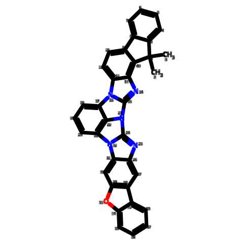 CC1(C)c2ccccc2-c2ccc3c(nc4n3c3cccc5c3n4c3nc4cc6c(cc4n53)oc3ccccc36)c21